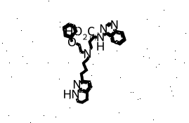 O=C(O)[C@H](CCN(CCCCc1ccc2c(n1)NCCC2)CCOc1ccccc1)Nc1ncnc2ccccc12